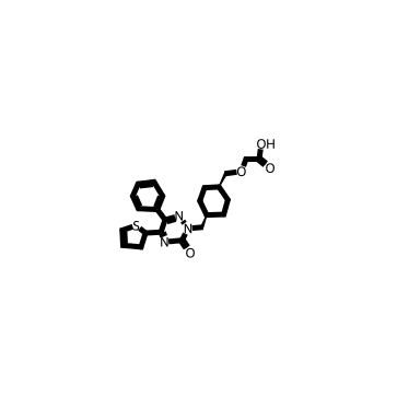 O=C(O)COC[C@H]1CC[C@@H](Cn2nc(-c3ccccc3)c(C3CC=CS3)nc2=O)CC1